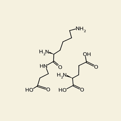 NCCCC[C@H](N)C(=O)NCCC(=O)O.N[C@@H](CCC(=O)O)C(=O)O